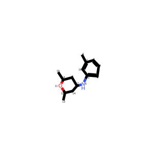 Cc1cccc(NC2CC(C)OC(C)C2)c1